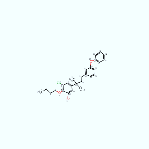 CCCCOc1c(Cl)cc(C(C)(C)C[CH]c2cccc(Oc3ccccc3)c2)cc1Br